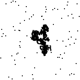 Cc1cccc(C)c1-c1cc2nc(n1)NS(=O)(=O)c1cccc(c1)C(=O)N(C1CC(NC(=O)OC(C)C)C1)[C@H](CC(C)C)CO2